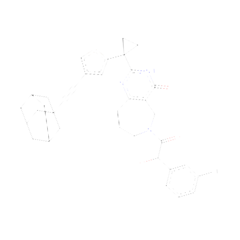 O=C(C(O)c1cccc(C(F)(F)F)c1)N1CCCc2nc(C3(c4cc(C#CC56CC7CC(CC(C7)C5)C6)cs4)CC3)[nH]c(=O)c2C1